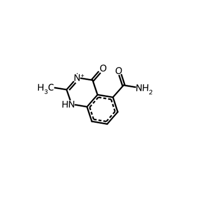 CC1=[N+]C(=O)c2c(cccc2C(N)=O)N1